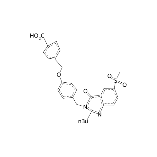 CCCCc1nc2ccc(S(C)(=O)=O)cc2c(=O)n1Cc1ccc(OCc2ccc(C(=O)O)cc2)cc1